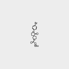 CC(C)(C)OC(=O)N1CCC2(CCN(c3ccc(Br)cc3)C2=O)C1